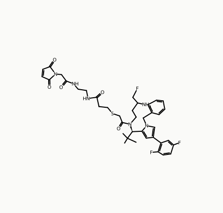 CC(C)(C)[C@H](c1cc(-c2cc(F)ccc2F)cn1Cc1ccccc1)N(CCC(N)CF)C(=O)CSCCC(=O)NCCNC(=O)CN1C(=O)C=CC1=O